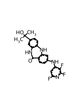 CC(C)(O)c1ccc2c(c1)NC(=O)c1ccc(Nc3cc(F)nc(F)c3F)cc1N2